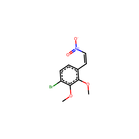 COc1c(Br)ccc(/C=C\[N+](=O)[O-])c1OC